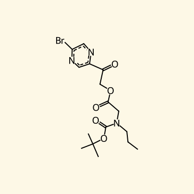 CCCN(CC(=O)OCC(=O)c1cnc(Br)cn1)C(=O)OC(C)(C)C